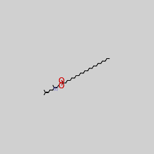 CCCCCCCCCCCCCCCCCCCCCC(=O)OC/C=C(\C)CCC=C(C)C